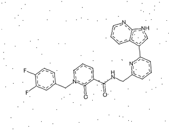 O=C(NCc1cccc(-c2c[nH]c3ncccc23)n1)c1cccn(Cc2ccc(F)c(F)c2)c1=O